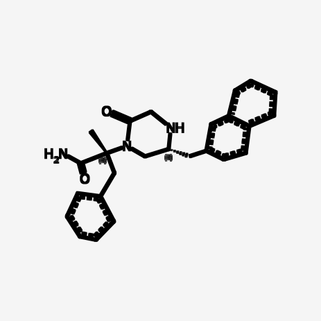 C[C@@](Cc1ccccc1)(C(N)=O)N1C[C@@H](Cc2ccc3ccccc3c2)NCC1=O